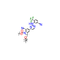 CC(C)(C)OC(=O)N1C[C@](C)(CO[Si](C)(C)C(C)(C)C)c2cc(-c3ccnc(Nc4cc(C#N)ccc4C(F)(F)F)n3)cc(C#N)c21